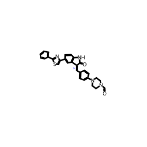 O=CN1CCN(c2ccc(/C=C3\C(=O)Nc4ccc(-c5csc(-c6ccccc6)n5)cc43)cc2)CC1